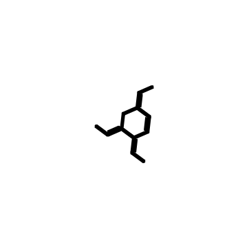 CC=C1C=CC(=CC)C(=CC)C1